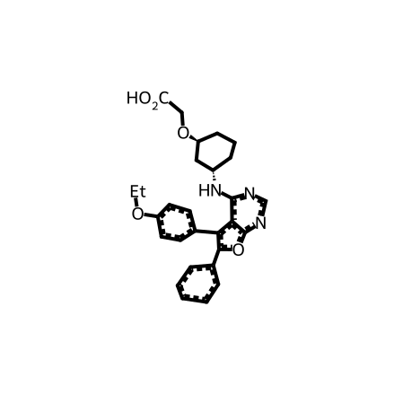 CCOc1ccc(-c2c(-c3ccccc3)oc3ncnc(N[C@H]4CCC[C@H](OCC(=O)O)C4)c23)cc1